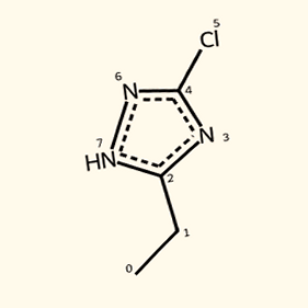 CCc1nc(Cl)n[nH]1